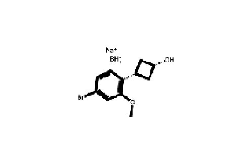 COc1cc(Br)ccc1[C@H]1C[C@@H](O)C1.[BH4-].[Na+]